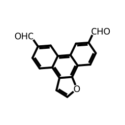 O=Cc1ccc2c(c1)c1cc(C=O)ccc1c1occc21